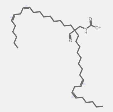 CCCCC/C=C\C/C=C\CCCCCCCCC(C=O)(CCCCCCCC/C=C\C/C=C\CCCCC)CNC(=O)O